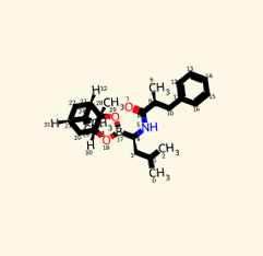 CC(C)C[C@H](NC(=O)[C@@H](C)Cc1ccccc1)B1O[C@@H]2C[C@@H]3C[C@@H](C3(C)C)[C@]2(C)O1